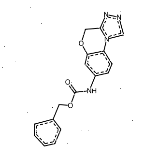 O=C(Nc1ccc2c(c1)OCc1nncn1-2)OCc1ccccc1